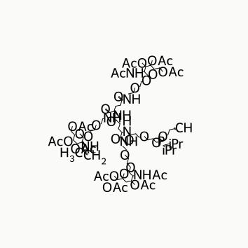 C#CCCOP(OCCOCCC(=O)NC(CCC(=O)NC(CCC(=O)NCCOCCOC1OC(COC(C)=O)C(OC(C)=O)C(OC(C)=O)C1NC(C)=O)C(=O)NCCOCCOC1OC(COC(C)=O)C(OC(C)=O)C(OC(C)=O)C1NC(=C)C)C(=O)NCCOCCOC1OC(COC(C)=O)C(OC(C)=O)C(OC(C)=O)C1NC(C)=O)C(C(C)C)C(C)C